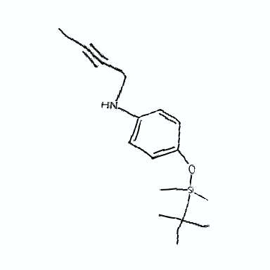 CC#CCNc1ccc(O[Si](C)(C)C(C)(C)C)cc1